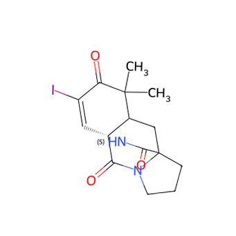 CC1(C)C(=O)C(I)=C[C@]23NC(=O)C4(CCCN4C2=O)CC13